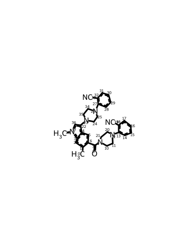 Cc1cc2c(cc1C(=O)N1CCN(c3ccccc3C#N)CC1)c(N1CCN(c3ccccc3C#N)CC1)cn2C